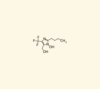 CCCCc1nc(C(F)(F)F)c(CO)n1O